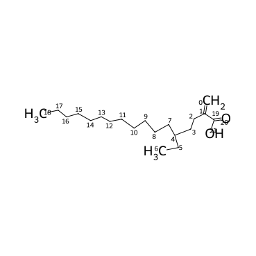 C=C(CCC(CC)CCCCCCCCCCCC)C(=O)O